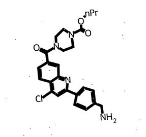 CCCOC(=O)N1CCN(C(=O)c2ccc3c(Cl)cc(-c4ccc(CN)cc4)nc3c2)CC1